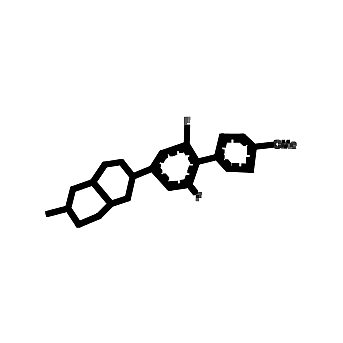 COc1ccc(-c2c(F)cc(C3CCC4CC(C)CCC4C3)cc2F)cc1